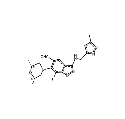 Cc1cc(CNc2noc3c(F)c(N4C[C@@H](C)O[C@@H](C)C4)c(C=O)cc23)no1